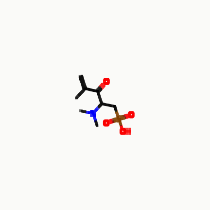 C=C(C)C(=O)C(CS(=O)(=O)O)N(C)C